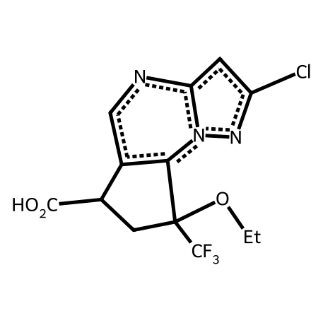 CCOC1(C(F)(F)F)CC(C(=O)O)c2cnc3cc(Cl)nn3c21